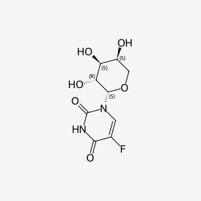 O=c1[nH]c(=O)n([C@H]2OC[C@H](O)[C@H](O)[C@H]2O)cc1F